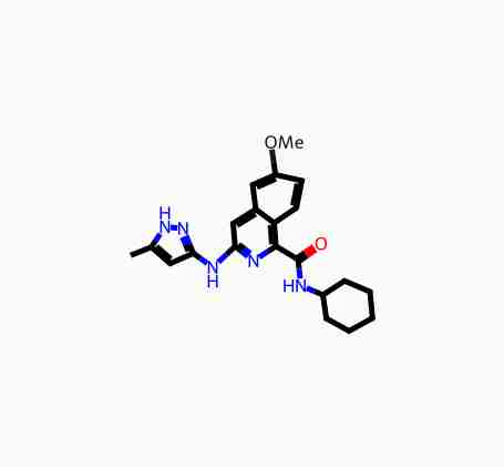 COc1ccc2c(C(=O)NC3CCCCC3)nc(Nc3cc(C)[nH]n3)cc2c1